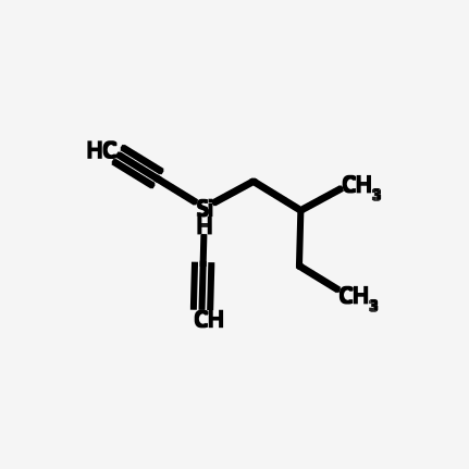 C#C[SiH](C#C)CC(C)CC